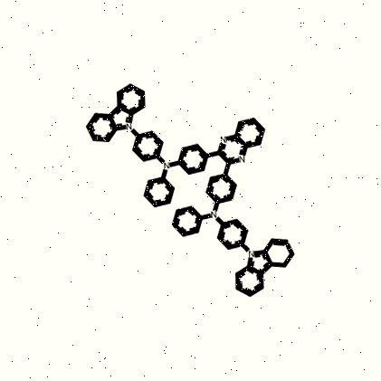 C1=Cc2c(c3ccccc3n2-c2ccc(N(c3ccccc3)c3ccc(-c4nc5ccccc5nc4-c4ccc(N(c5ccccc5)c5ccc(-n6c7ccccc7c7ccccc76)cc5)cc4)cc3)cc2)CC1